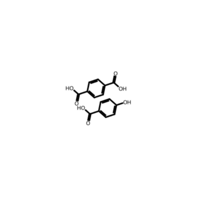 O=C(O)c1ccc(C(=O)O)cc1.O=C(O)c1ccc(O)cc1